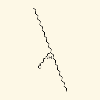 CCCCCCCCCCCCCCCCC(CCCCCCCCCCCCCC)CNCCC=O